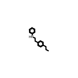 CCCc1ccc(CCNc2cc[c]cc2)cc1